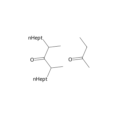 CCC(C)=O.CCCCCCCC(C)C(=O)C(C)CCCCCCC